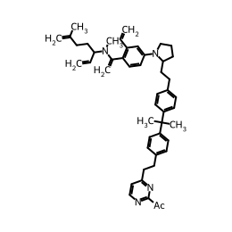 C=Cc1cc(N2CCCC2CCc2ccc(C(C)(C)c3ccc(CCc4ccnc(C(C)=O)n4)cc3)cc2)ccc1C(=C)N(C)C(C=C)CCC(=C)C